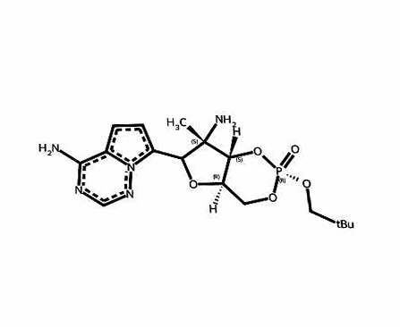 CC(C)(C)CO[P@]1(=O)OC[C@H]2OC(c3ccc4c(N)ncnn34)[C@](C)(N)[C@@H]2O1